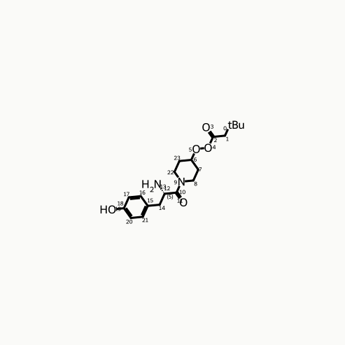 CC(C)(C)CC(=O)OOC1CCN(C(=O)[C@@H](N)Cc2ccc(O)cc2)CC1